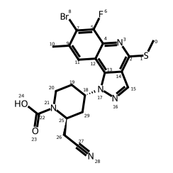 CSc1nc2c(F)c(Br)c(C)cc2c2c1cnn2[C@H]1CCN(C(=O)O)[C@H](CC#N)C1